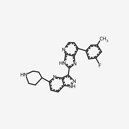 Cc1cc(F)cc(-c2ccnc3[nH]c(-c4n[nH]c5ccc(C6CCNCC6)nc45)nc23)c1